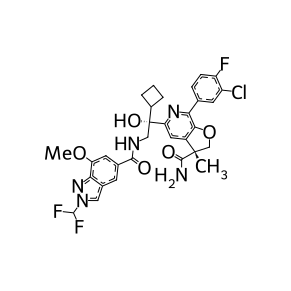 COc1cc(C(=O)NC[C@](O)(c2cc3c(c(-c4ccc(F)c(Cl)c4)n2)OC[C@]3(C)C(N)=O)C2CCC2)cc2cn(C(F)F)nc12